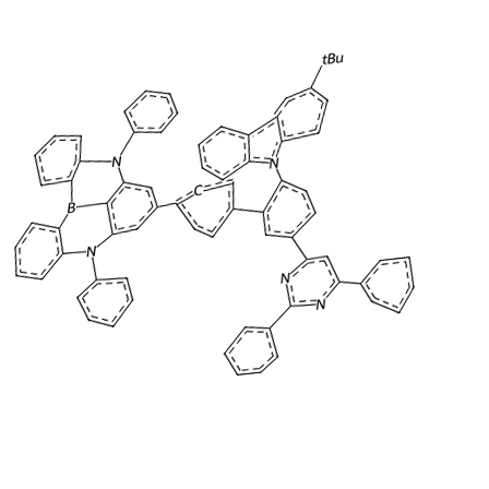 CC(C)(C)c1ccc2c(c1)c1ccccc1n2-c1ccc(-c2cc(-c3ccccc3)nc(-c3ccccc3)n2)cc1-c1ccc(-c2cc3c4c(c2)N(c2ccccc2)c2ccccc2B4c2ccccc2N3c2ccccc2)cc1